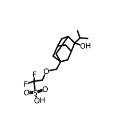 CC(C)C1(O)C2CC3CC1CC(COCC(F)(F)S(=O)(=O)O)(C3)C2